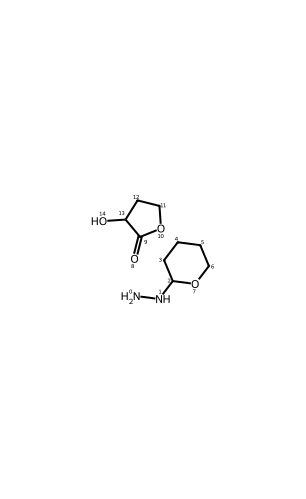 NNC1CCCCO1.O=C1OCCC1O